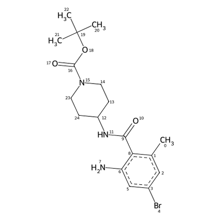 Cc1cc(Br)cc(N)c1C(=O)NC1CCN(C(=O)OC(C)(C)C)CC1